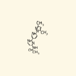 CC(=O)Nc1ccnc(-c2ccc(-n3nc(C)cc3C)nc2)n1